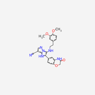 COc1ccc(CCNc2c(-c3ccc4c(c3)NC(=O)CO4)[nH]c3c(C#N)cnn23)cc1OC